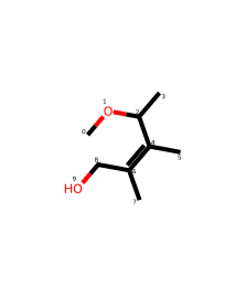 COC(C)C(C)=C(C)CO